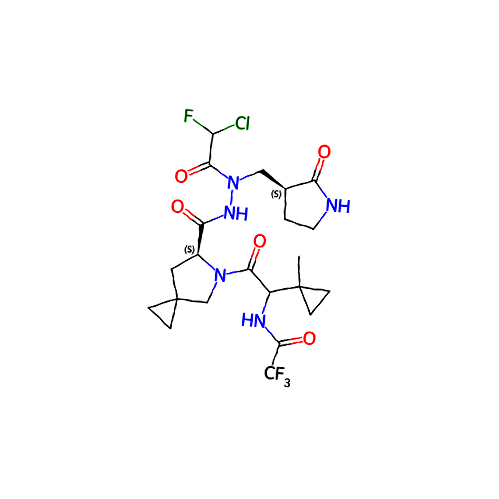 CC1(C(NC(=O)C(F)(F)F)C(=O)N2CC3(CC3)C[C@H]2C(=O)NN(C[C@@H]2CCNC2=O)C(=O)C(F)Cl)CC1